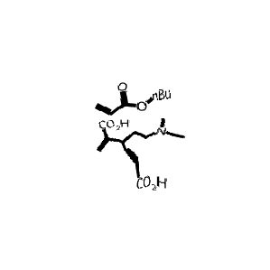 C=C(C(=O)O)C(C=CC(=O)O)CCN(C)C.C=CC(=O)OCCCC